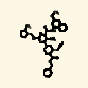 COc1cc(NC(=O)c2nc(OC[C@@H]3CCCN3C)nc(N3CCN(C(=O)OCc4ccccc4)[C@@H](CC#N)C3)c2N)c2ccccc2c1